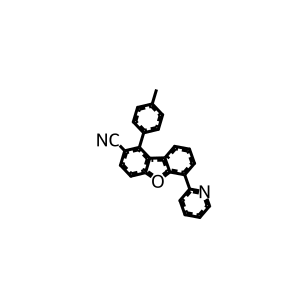 Cc1ccc(-c2c(C#N)ccc3oc4c(-c5ccccn5)cccc4c23)cc1